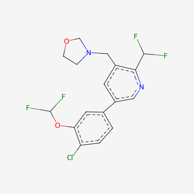 FC(F)Oc1cc(-c2cnc(C(F)F)c(CN3CCOC3)c2)ccc1Cl